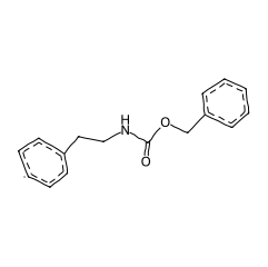 O=C(NCCc1cc[c]cc1)OCc1ccccc1